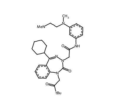 CNCCN(C)c1cccc(NC(=O)CN2N=C(C3CCCCC3)c3ccccc3N(CC(=O)C(C)(C)C)C2=O)c1